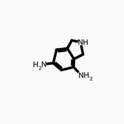 Nc1cc(N)c2c(c1)CNC2